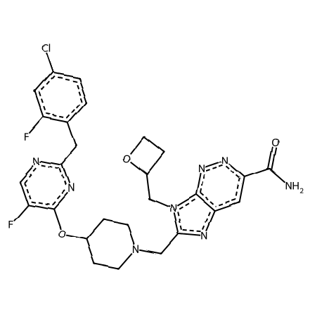 NC(=O)c1cc2nc(CN3CCC(Oc4nc(Cc5ccc(Cl)cc5F)ncc4F)CC3)n(CC3CCO3)c2nn1